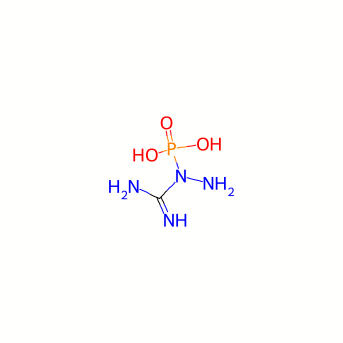 N=C(N)N(N)P(=O)(O)O